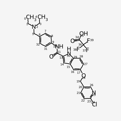 CCN(CC)Cc1ccc(NC(=O)c2cc3cc(OCc4ccc(Cl)nc4)ccc3[nH]2)cc1.O=C(O)C(F)(F)F